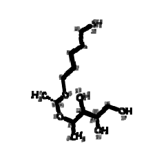 CC(O[C@H](C)OCCCCCS)C(O)[C@H](O)CO